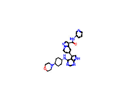 O=C(Nc1cccnc1)c1cnn2ccc(-c3c[nH]c4ncnc(N[C@H]5CC[C@H](N6CCOCC6)CC5)c34)cc12